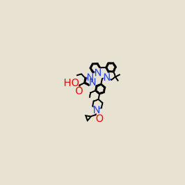 CCc1cc(CN2CC(C)(C)c3cccc(-c4cccc(-n5ncc(C(=O)O)c5CC)n4)c32)ccc1C1CCN(C(=O)C2CC2)CC1